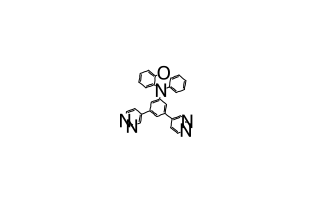 c1ccc2c(c1)Oc1ccccc1N2c1cc(-c2ccnnc2)cc(-c2ccnnc2)c1